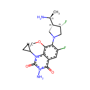 COc1c(N2C[C@H]([C@H](C)N)[C@H](F)C2)c(F)cc2c(=O)n(N)c(=O)n(C3CC3)c12